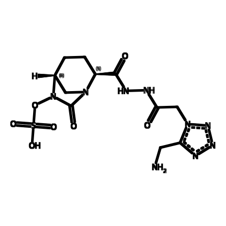 NCc1nnnn1CC(=O)NNC(=O)[C@@H]1CC[C@@H]2CN1C(=O)N2OS(=O)(=O)O